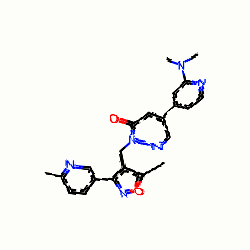 Cc1ccc(-c2noc(C)c2Cn2ncc(-c3ccnc(N(C)C)c3)cc2=O)cn1